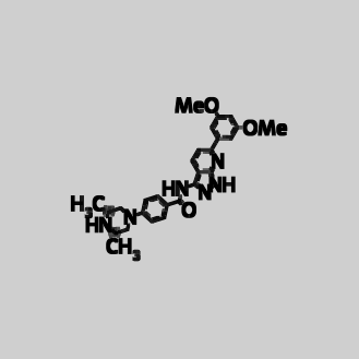 COc1cc(OC)cc(-c2ccc3c(NC(=O)c4ccc(N5C[C@@H](C)N[C@@H](C)C5)cc4)n[nH]c3n2)c1